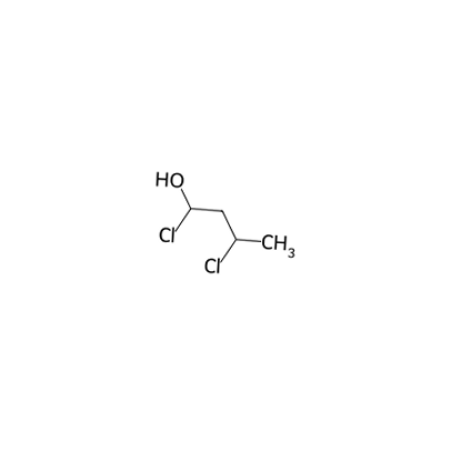 CC(Cl)CC(O)Cl